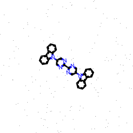 c1ccc2c(c1)c1ccccc1n2-c1cnc(-c2ncc(-n3c4ccccc4c4ccccc43)cn2)nc1